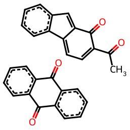 CC(=O)C1=CC=C2C(=Cc3ccccc32)C1=O.O=C1c2ccccc2C(=O)c2ccccc21